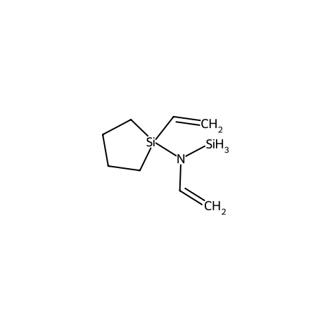 C=CN([SiH3])[Si]1(C=C)CCCC1